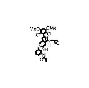 C=CC(=O)Nc1cccc(C)c1Nc1cc2c(NCC3COC3)nc(-c3c(Cl)c(OC)cc(OC)c3Cl)cc2cn1